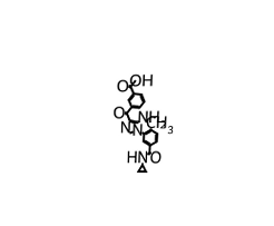 Cc1ccc(C(=O)NC2CC2)cc1-n1cnc(C(=O)c2cccc(C(=O)O)c2)c1N